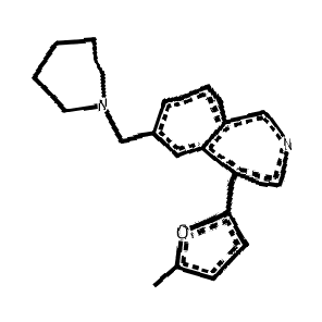 Cc1ccc(-c2cncc3ccc(CN4CCCCC4)cc23)o1